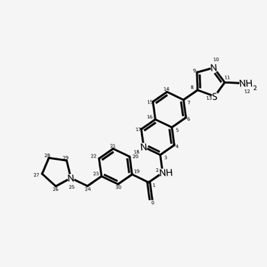 C=C(Nc1cc2cc(-c3cnc(N)s3)ccc2cn1)c1cccc(CN2CCCC2)c1